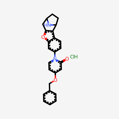 Cl.O=c1cc(OCc2ccccc2)ccn1-c1ccc2c3c(oc2c1)CC1CCC3N1